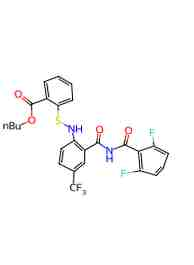 CCCCOC(=O)c1ccccc1SNc1ccc(C(F)(F)F)cc1C(=O)NC(=O)c1c(F)cccc1F